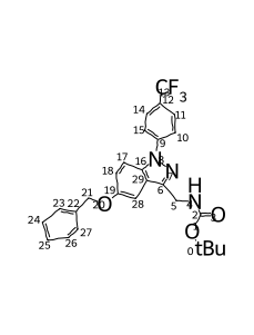 CC(C)(C)OC(=O)NCc1nn(-c2ccc(C(F)(F)F)cc2)c2ccc(OCc3ccccc3)cc12